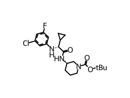 CC(C)(C)OC(=O)N1CCC[C@@H](NC(=O)[C@H](Nc2cc(F)cc(Cl)c2)C2CC2)C1